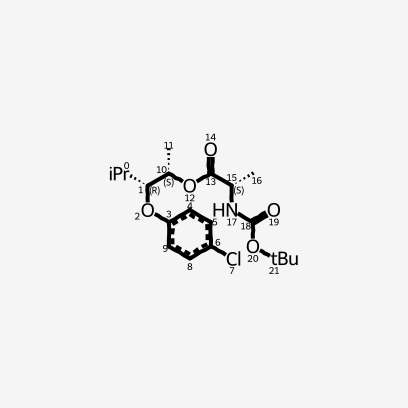 CC(C)[C@@H](Oc1ccc(Cl)cc1)[C@H](C)OC(=O)[C@H](C)NC(=O)OC(C)(C)C